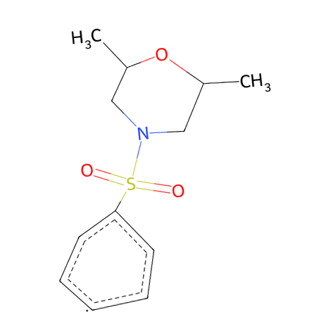 CC1CN(S(=O)(=O)c2cc[c]cc2)CC(C)O1